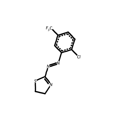 FC(F)(F)c1ccc(Cl)c(N=NC2=NCCS2)c1